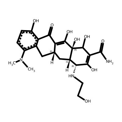 CN(C)c1ccc(O)c2c1C[C@H]1C[C@H]3[C@@H](NCCO)C(O)=C(C(N)=O)C(O)[C@@]3(O)C(O)=C1C2=O